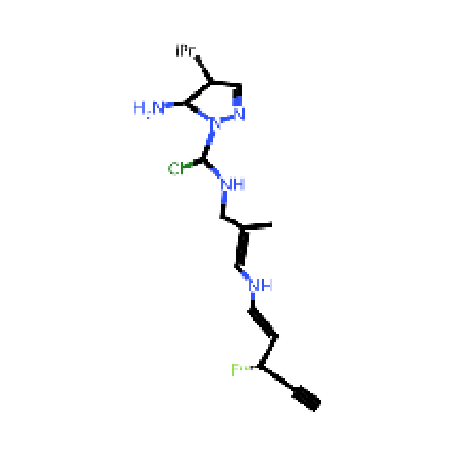 C#C[C@H](F)/C=C/N/C=C(\C)CNC(Cl)N1N=CC(C(C)C)C1N